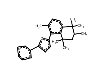 Cc1ccc2c(c1-c1ccc(-c3ccccc3)o1)C(C)(C)CC(C)C2(C)C